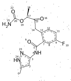 Cc1cc(NC(=O)c2cc(F)ccc2CC(=O)[C@H](C)OC(N)=O)n[nH]1